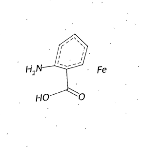 Nc1ccccc1C(=O)O.[Fe]